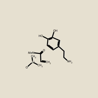 C=CC(=O)NC.C[S+](C)[O-].NCCc1ccc(O)c(O)c1